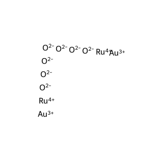 [Au+3].[Au+3].[O-2].[O-2].[O-2].[O-2].[O-2].[O-2].[O-2].[Ru+4].[Ru+4]